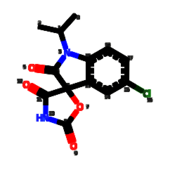 CC(C)N1C(=O)C2(OC(=O)NC2=O)c2cc(Cl)ccc21